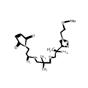 C=C(CCN1C(=O)C=CC1=O)NCC(C)(C)COCC(C)(C)c1cn(CCOC(C)(C)C)nn1